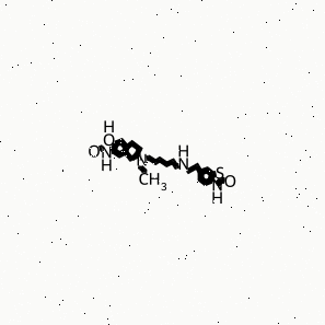 CCCN(CCCCCCNCCc1ccc2[nH]c(=O)sc2c1)[C@@H]1CCc2cc(O)c(NC=O)cc2C1